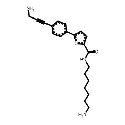 NCC#Cc1ccc(-c2ccc(C(=O)NCCCCCCCN)o2)cc1